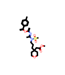 C=C(/N=C(\C)N(CCCC1(CC(=O)OC)CCOCC1)S(C)(=O)=O)OC(=C)c1ccc(C)cc1